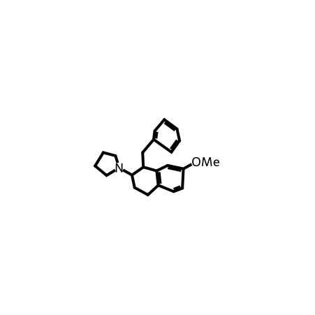 COc1ccc2c(c1)C(Cc1ccccc1)C(N1CCCC1)CC2